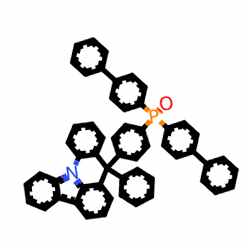 O=P(c1ccc(-c2ccccc2)cc1)(c1ccc(-c2ccccc2)cc1)c1ccc(C2(c3ccccc3)c3ccccc3-n3c4ccccc4c4cccc2c43)cc1